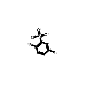 O=S(=O)(Cl)c1cc(I)ccc1F